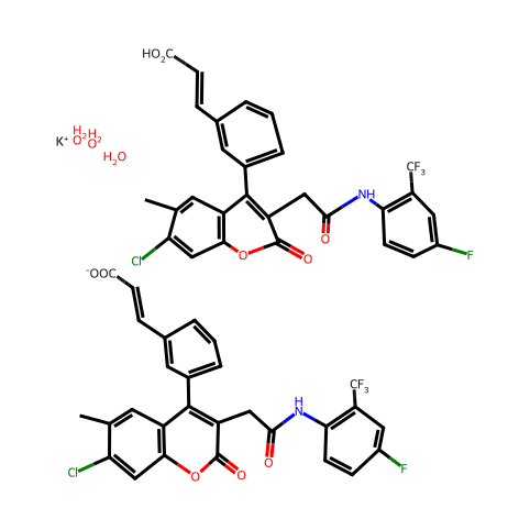 Cc1cc2c(-c3cccc(C=CC(=O)O)c3)c(CC(=O)Nc3ccc(F)cc3C(F)(F)F)c(=O)oc2cc1Cl.Cc1cc2c(-c3cccc(C=CC(=O)[O-])c3)c(CC(=O)Nc3ccc(F)cc3C(F)(F)F)c(=O)oc2cc1Cl.O.O.O.[K+]